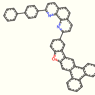 c1ccc(-c2ccc(-c3ccc4ccc5ccc(-c6ccc7oc8cc9c%10ccccc%10c%10ccccc%10c9cc8c7c6)nc5c4n3)cc2)cc1